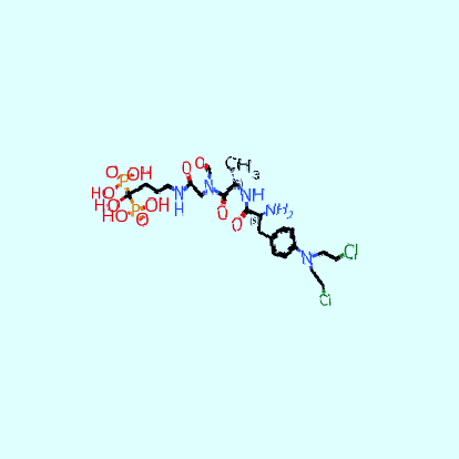 C[C@H](NC(=O)[C@@H](N)Cc1ccc(N(CCCl)CCCl)cc1)C(=O)N(C=O)CC(=O)NCCCC(O)(P(=O)(O)O)P(=O)(O)O